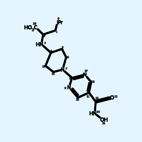 CC(C)CC(NC1CCN(c2ncc(C(=O)NO)cn2)CC1)C(=O)O